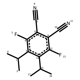 CC(C)c1c(F)c(C#N)c(C#N)c(F)c1C(C)C